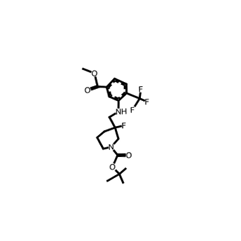 COC(=O)c1ccc(C(F)(F)F)c(NCC2(F)CCCN(C(=O)OC(C)(C)C)C2)c1